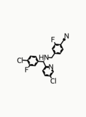 N#Cc1ccc(CN[C@@H](c2ccc(Cl)c(F)c2)c2ccc(Cl)cn2)cc1F